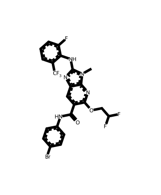 Cn1c(Nc2c(F)cccc2C(F)(F)F)nc2cc(C(=O)Nc3ccc(Br)cc3)c(OCC(F)F)nc21